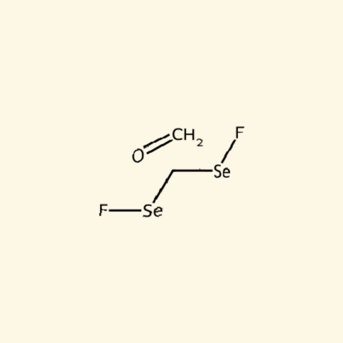 C=O.F[Se]C[Se]F